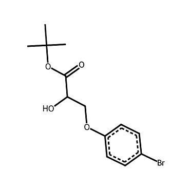 CC(C)(C)OC(=O)C(O)COc1ccc(Br)cc1